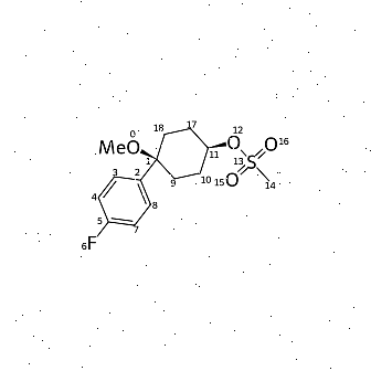 CO[C@]1(c2ccc(F)cc2)CC[C@H](OS(C)(=O)=O)CC1